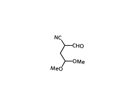 COC(CC(C#N)C=O)OC